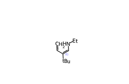 C=C/C(=C\NCC)C(C)(C)C